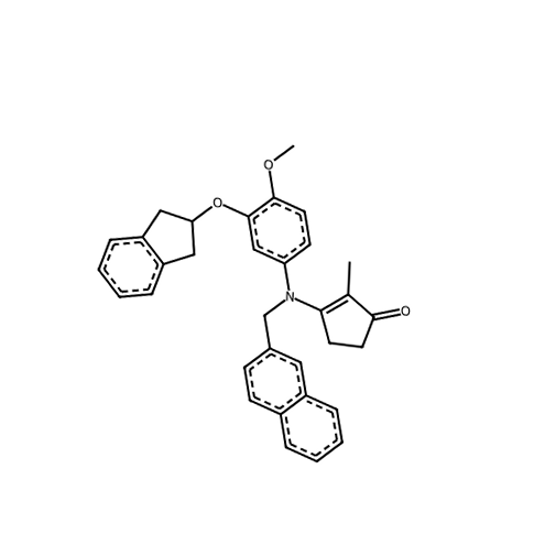 COc1ccc(N(Cc2ccc3ccccc3c2)C2=C(C)C(=O)CC2)cc1OC1Cc2ccccc2C1